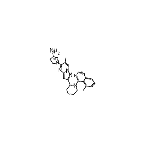 Cc1cn2nc(C3CCCCN3c3ncnc4cccc(C)c34)cc2nc1N1CC[C@@H](N)C1